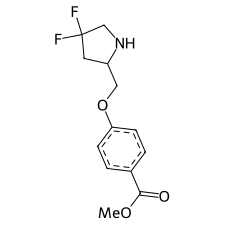 COC(=O)c1ccc(OCC2CC(F)(F)CN2)cc1